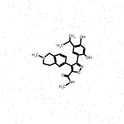 CNC(=O)c1onc(-c2cc(C(C)C)c(O)cc2O)c1-c1ccc2c(c1)CCN(C)C2